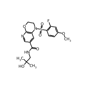 COc1ccc(S(=O)(=O)N2CCOc3ncc(C(=O)NCC(C)(C)O)cc32)c(F)c1